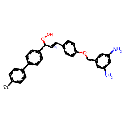 CCc1ccc(-c2ccc(C(/C=C/c3ccc(OCc4cc(N)cc(N)c4)cc3)OO)cc2)cc1